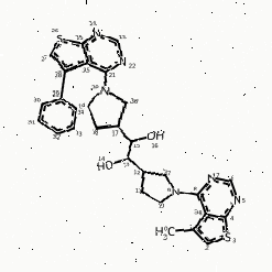 Cc1csc2ncnc(N3CCC(C(O)C(O)[C@H]4CCN(c5ncnc6scc(-c7ccccc7)c56)C4)C3)c12